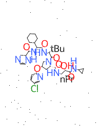 CCC[C@H](NC(=O)[C@@H]1C[C@@H](Oc2ccc(Cl)cn2)CN1C(=O)[C@@H](NC(=O)[C@@H](NC(=O)c1cnccn1)C1CCCCC1)C(C)(C)C)C(O)C(=O)NC1CC1